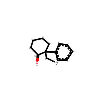 CC(C)CC1(c2ccccc2)CCCCC1=O